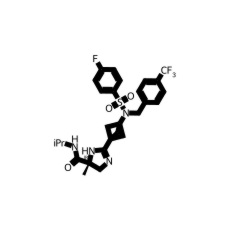 CC(C)NC(=O)[C@@]1(C)CN=C(C23CC(N(Cc4ccc(C(F)(F)F)cc4)S(=O)(=O)c4ccc(F)cc4)(C2)C3)N1